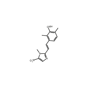 COc1c(C)ccc(/C=C/c2ncc([N+](=O)[O-])n2C)c1C